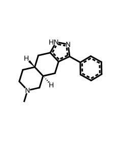 CN1CC[C@@H]2Cc3[nH]nc(-c4ccccc4)c3C[C@H]2C1